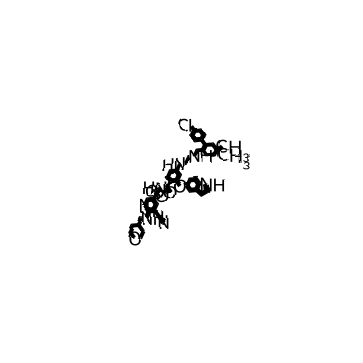 CC1(C)CCC(CNCCNc2ccc(C(=O)NS(=O)(=O)c3cnc(NCC4CCOCC4)c(C#N)c3)c(Oc3ccc4[nH]ccc4c3)c2)=C(c2ccc(Cl)cc2)C1